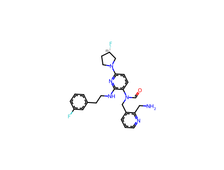 NCc1ncccc1CN(C=O)c1ccc(N2CC[C@H](F)C2)nc1NCCc1cccc(F)c1